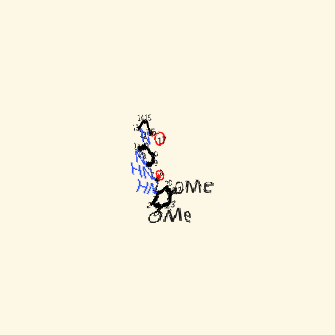 COc1cc(NC(=O)Nc2ccc(N3CCCC3=O)cn2)cc(OC)c1